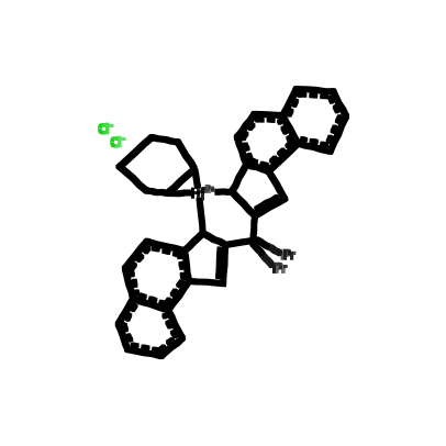 CC(C)CC1=Cc2c(ccc3ccccc23)[CH]1[Hf+2]1([CH]2C(CC(C)C)=Cc3c2ccc2ccccc32)[CH]2CCCC[CH]21.[Cl-].[Cl-]